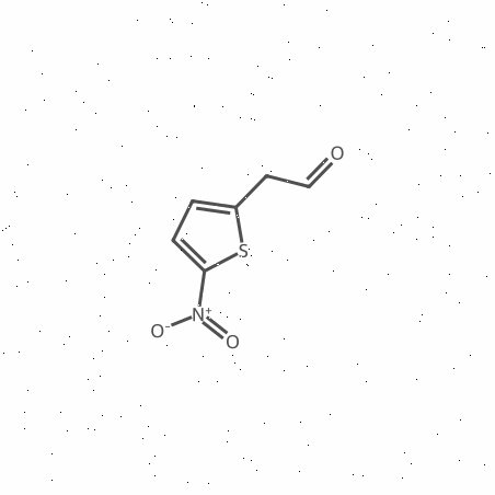 O=CCc1ccc([N+](=O)[O-])s1